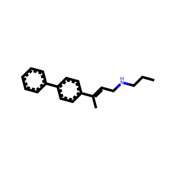 CCCNCC=C(C)c1ccc(-c2ccccc2)cc1